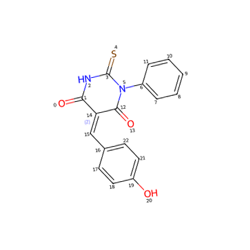 O=C1NC(=S)N(c2ccccc2)C(=O)/C1=C\c1ccc(O)cc1